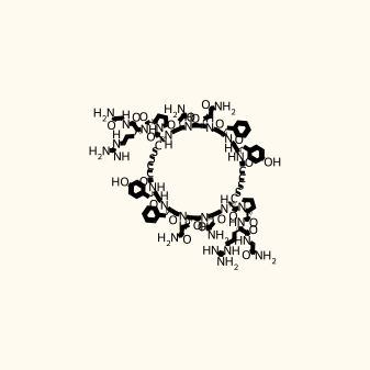 N=C(N)NCCC[C@@H](NC(=O)[C@@H]1CCCN1C(=O)[C@@H]1CSSCCC(=O)N[C@@H](Cc2ccc(O)cc2)C(=O)N[C@@H](Cc2ccccc2)C(=O)N[C@@H](CCC(N)=O)C(=O)N[C@@H](CC(N)=O)C(=O)N[C@H](C(=O)N2CCC[C@H]2C(=O)N[C@H](CCCNC(=N)N)C(=O)NCC(N)=O)CSSCCC(=O)N[C@@H](Cc2ccc(O)cc2)C(=O)N[C@@H](Cc2ccccc2)C(=O)N[C@@H](CCC(N)=O)C(=O)N[C@@H](CC(N)=O)C(=O)N1)C(=O)NCC(N)=O